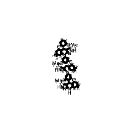 COc1cc(N2C3=C(C(=O)CC(C)(C)C3)[C@@H](c3ccc(N4C5=C(C(=O)CC(C)(C)C5)[C@H](c5ccccc5OC)c5c4n[nH]c5C(F)(F)F)cc3OC)c3c2n[nH]c3C(F)(F)F)ccc1C1C2=C(CC(C)(C)CC2=O)Nc2n[nH]c(C(F)(F)F)c21